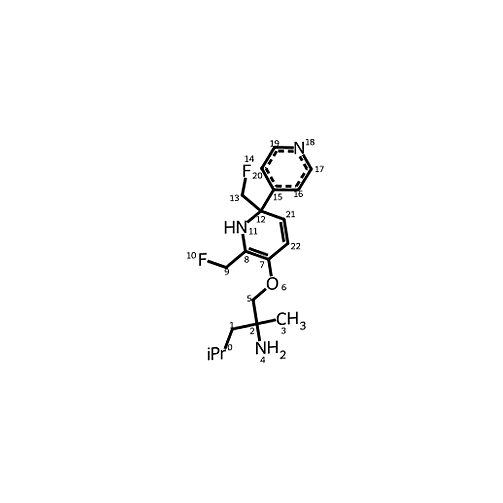 CC(C)CC(C)(N)COC1=C(CF)NC(CF)(c2ccncc2)C=C1